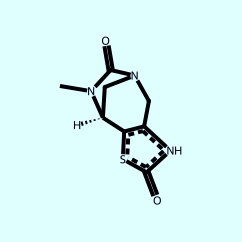 CN1C(=O)N2Cc3[nH]c(=O)sc3[C@@H]1C2